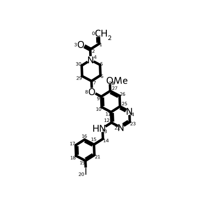 C=CC(=O)N1CCC(Oc2cc3c(NCc4cccc(I)c4)ncnc3cc2OC)CC1